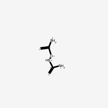 BC(=C)OBC(=C)N